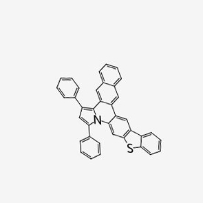 c1ccc(-c2cc(-c3ccccc3)n3c4cc5sc6ccccc6c5cc4c4cc5ccccc5cc4c23)cc1